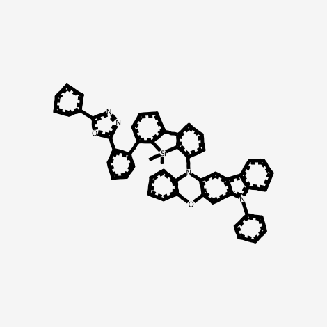 C[Si]1(C)c2c(-c3ccccc3-c3nnc(-c4ccccc4)o3)cccc2-c2cccc(N3c4ccccc4Oc4cc5c(cc43)c3ccccc3n5-c3ccccc3)c21